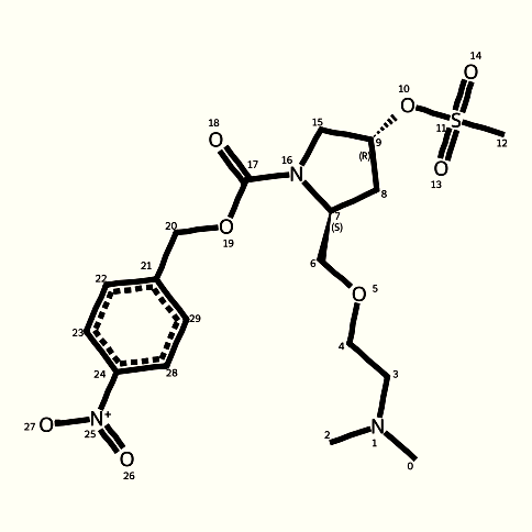 CN(C)CCOC[C@@H]1C[C@@H](OS(C)(=O)=O)CN1C(=O)OCc1ccc([N+](=O)[O-])cc1